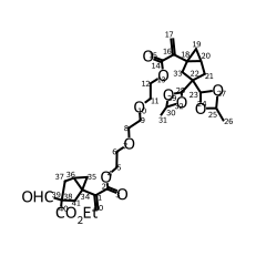 C=C(C(=O)OCCOCCOCCOC(=O)C(=C)C12CC1CC(C1OC(C)O1)(C1OC(C)O1)C2)C12CC1CC(C=O)(C(=O)OCC)C2